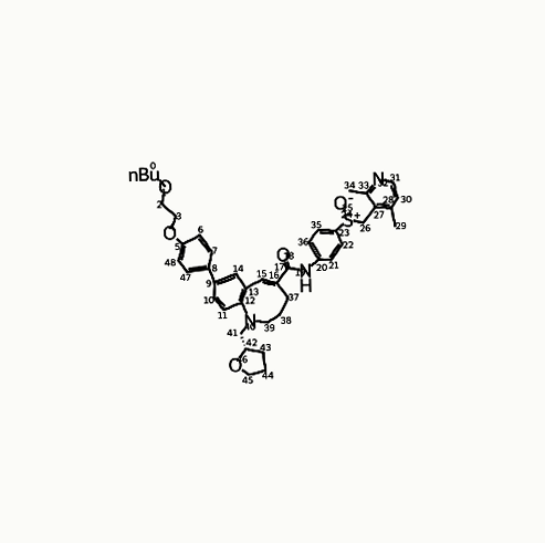 CCCCOCCOc1ccc(-c2ccc3c(c2)/C=C(/C(=O)Nc2ccc([S@+]([O-])Cc4c(C)ccnc4C)cc2)CCCN3C[C@@H]2CCCO2)cc1